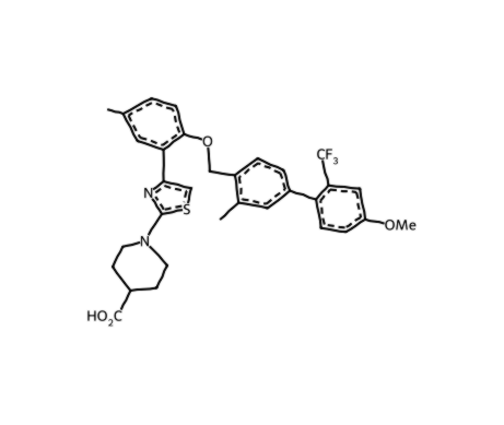 COc1ccc(-c2ccc(COc3ccc(C)cc3-c3csc(N4CCC(C(=O)O)CC4)n3)c(C)c2)c(C(F)(F)F)c1